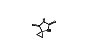 O=C1NC(=O)C2(CC2)N1